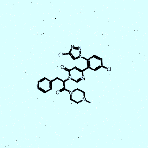 CN1CCN(C(=O)C(Cc2ccccc2)n2cnc(-c3cc(Cl)ccc3-n3cc(Cl)nn3)cc2=O)CC1